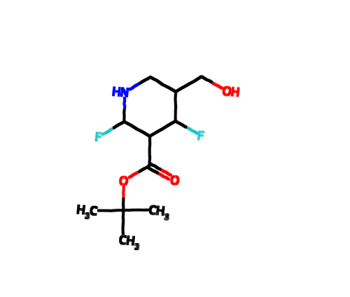 CC(C)(C)OC(=O)C1C(F)NCC(CO)C1F